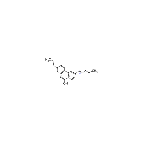 CCC/C=C/c1ccc(C(=O)O)c(-c2ccc(CCC)cc2)c1